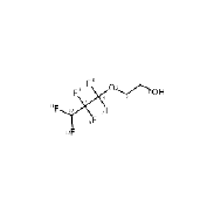 OCCOC(F)(F)C(F)(F)C(F)F